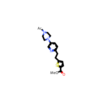 COC(=O)c1ccc(CCc2ccc(N3CCN(C(C)=O)CC3)cn2)s1